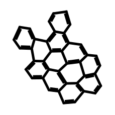 c1ccc2c(c1)c1ccc3cc4ccc5ccc6ccc7cc8c9ccccc9c2c2c1c3c1c4c5c6c7c1c82